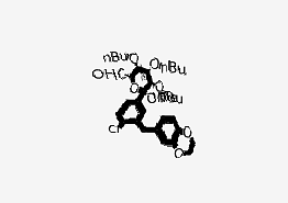 CCCCO[C@H]1[C@H](OCCCC)[C@@H](C=O)OC(OC)(c2ccc(Cl)c(Cc3ccc4c(c3)OCCO4)c2)[C@@H]1OCCCC